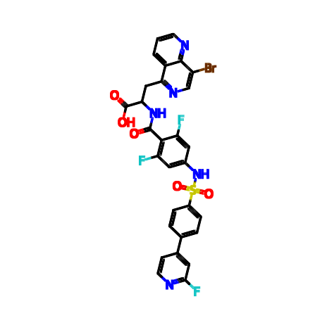 O=C(NC(Cc1ncc(Br)c2ncccc12)C(=O)O)c1c(F)cc(NS(=O)(=O)c2ccc(-c3ccnc(F)c3)cc2)cc1F